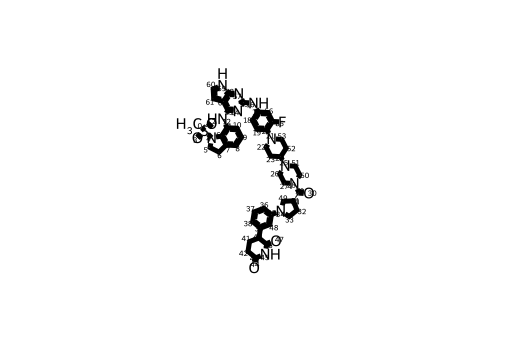 CS(=O)(=O)N1CCc2cccc(Nc3nc(Nc4ccc(N5CCC(N6CCN(C(=O)[C@@H]7CCN(c8cccc(C9CCC(=O)NC9=O)c8)C7)CC6)CC5)c(F)c4)nc4[nH]ccc34)c21